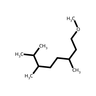 COCCC(C)CCC(C)C(C)C